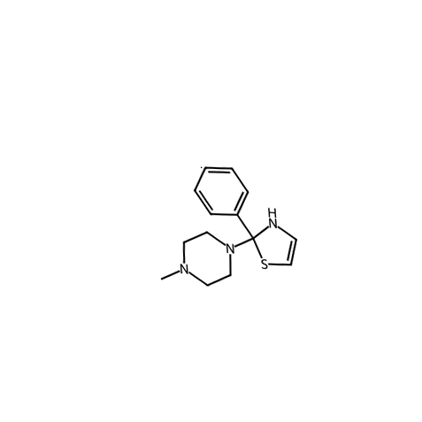 CN1CCN(C2(c3cc[c]cc3)NC=CS2)CC1